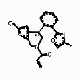 C=CC(=O)N1Cc2sc(Cl)cc2[C@@H](c2ccccc2-c2nc(C)co2)C1